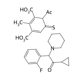 CC(=O)C1C(=S)C=C(C(=O)O)C(C)=C1C(=O)O.O=C(C1CC1)C(c1ccccc1F)N1CCCCC1